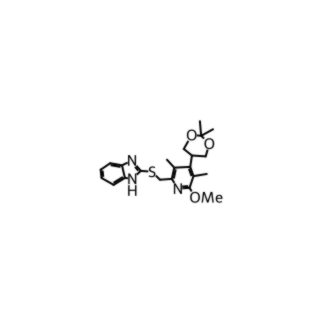 COc1nc(CSc2nc3ccccc3[nH]2)c(C)c(C2COC(C)(C)OC2)c1C